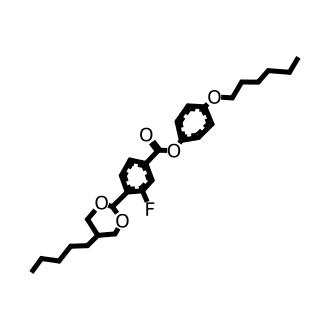 CCCCCCOc1ccc(OC(=O)c2ccc(C3OCC(CCCCC)CO3)c(F)c2)cc1